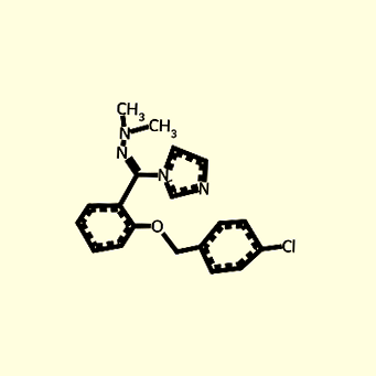 CN(C)N=C(c1ccccc1OCc1ccc(Cl)cc1)n1ccnc1